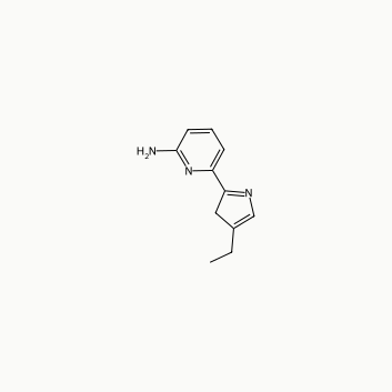 CCC1=CN=C(c2cccc(N)n2)C1